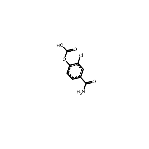 NC(=O)c1ccc(OC(=O)O)c(Cl)c1